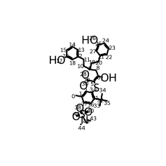 Cc1cc(SC2=C(O)CC(CCc3cccc(O)c3)(CCc3cccc(O)c3)OC2=O)c(C(C)(C)C)cc1OS(=O)(=O)N(C)C